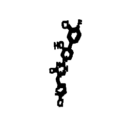 O=c1nc(N2CC=C(c3ccc(F)c(Cl)c3)C(O)C2)ncn1Cc1ccc(Cl)s1